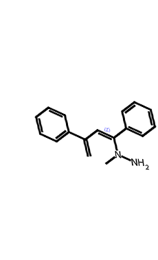 C=C(/C=C(/c1ccccc1)N(C)N)c1ccccc1